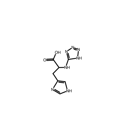 O=C(O)C(Cc1c[nH]cn1)Nc1nnn[nH]1